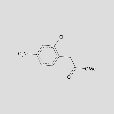 COC(=O)Cc1ccc([N+](=O)[O-])cc1Cl